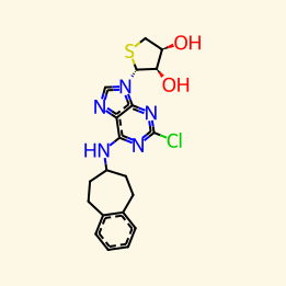 O[C@@H]1[C@H](O)CS[C@H]1n1cnc2c(NC3CCc4ccccc4CC3)nc(Cl)nc21